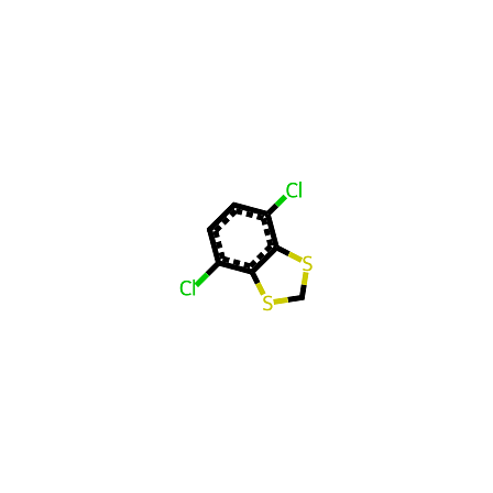 Clc1ccc(Cl)c2c1SCS2